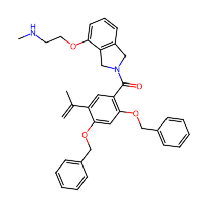 C=C(C)c1cc(C(=O)N2Cc3cccc(OCCNC)c3C2)c(OCc2ccccc2)cc1OCc1ccccc1